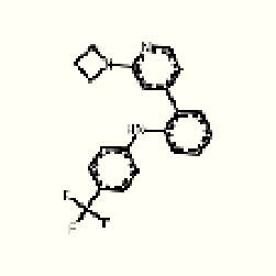 FC(F)(F)c1ccc(Nc2ccccc2-c2ccnc(N3CCC3)c2)cc1